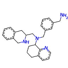 NCc1cccc(CN(CC2Cc3ccccc3CN2)C2CCCc3cccnc32)c1